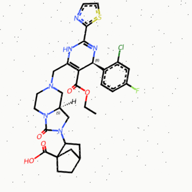 CCOC(=O)C1=C(CN2CCN3C(=O)N(C4CC5CCC4(C(=O)O)C5)C[C@@H]3C2)NC(c2nccs2)=N[C@H]1c1ccc(F)cc1Cl